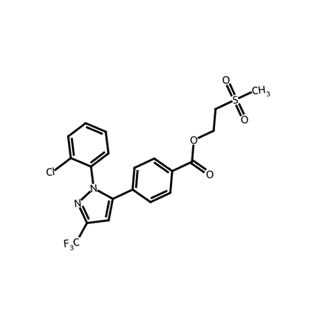 CS(=O)(=O)CCOC(=O)c1ccc(-c2cc(C(F)(F)F)nn2-c2ccccc2Cl)cc1